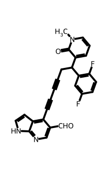 Cn1cccc(C(CC#CC#Cc2c(C=O)cnc3[nH]ccc23)c2cc(F)ccc2F)c1=O